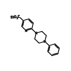 CCOC(=O)c1ccc(N2CCN(c3ccccc3)CC2)nc1